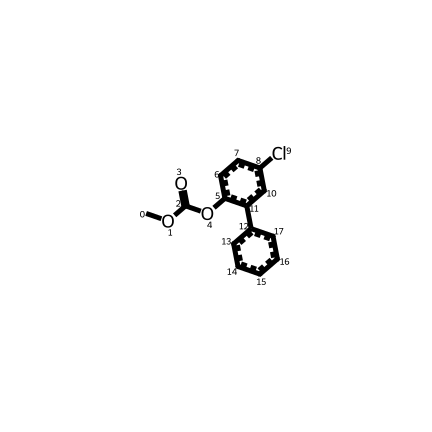 COC(=O)Oc1ccc(Cl)cc1-c1ccccc1